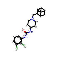 CC1(C)C2CC=C(CN3CCC(NC(=O)Nc4cccc(Cl)c4Cl)CC3)C1C2